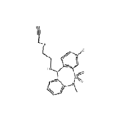 C#CCOCCNC1c2ccccc2N(C)S(=O)(=O)c2cc(Cl)ccc21